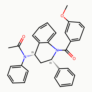 COc1cccc(C(=O)N2c3ccccc3[C@@H](N(C(C)=O)c3ccccc3)C[C@H]2c2ccccc2)c1